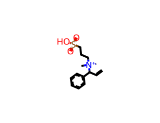 C=CC(c1ccccc1)[N+](C)(C)CCCS(=O)(=O)O